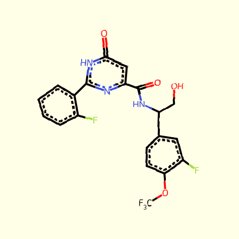 O=C(NC(CO)c1ccc(OC(F)(F)F)c(F)c1)c1cc(=O)[nH]c(-c2ccccc2F)n1